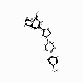 N#Cc1ccc(N2CCN(C3C=C(c4cc5cccn5c(=O)[nH]4)CC3)CC2)cc1